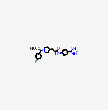 N=C(N)c1ccc(NC(=O)CCC2CCN(C(C(=O)O)c3ccc(F)cc3)CC2)cc1